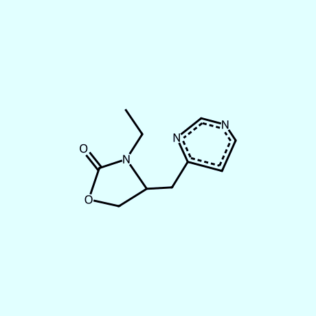 CCN1C(=O)OCC1Cc1ccncn1